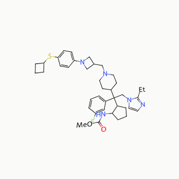 CCc1nccn1CC(c1cccc(F)c1)(C1CCN(CC2CN(c3ccc(SC4CCC4)cc3)C2)CC1)C1CCCC1NC(=O)OC